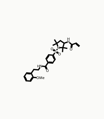 C=CC(=O)NC1CC(C)(C)N(S(=O)(=O)c2ccc(C(=O)NCCc3ccccc3OC)cc2)C1(C)C